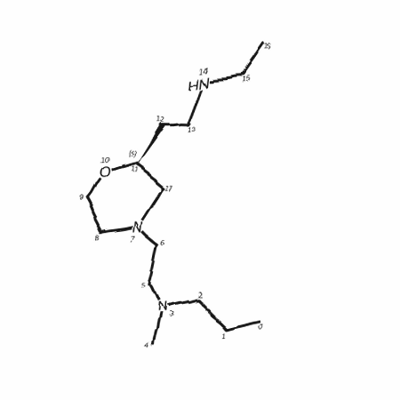 CCCN(C)CCN1CCO[C@@H](CCNCC)C1